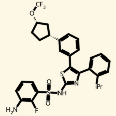 CC(C)c1ccccc1-c1nc(NS(=O)(=O)c2cccc(N)c2F)sc1-c1cccc([C@@H]2CC[C@H](OC(F)(F)F)C2)c1